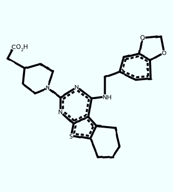 O=C(O)CC1CCN(c2nc(NCc3ccc4c(c3)OCO4)c3c4c(sc3n2)CCCC4)CC1